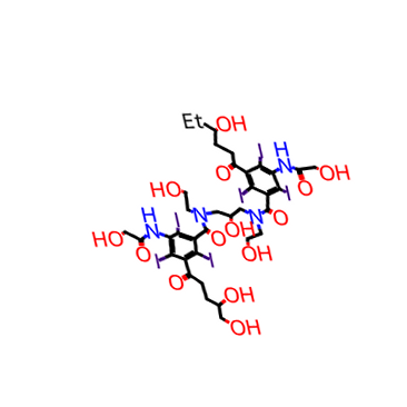 CCC(O)CCC(=O)c1c(I)c(NC(=O)CO)c(I)c(C(=O)N(CCO)CC(O)CN(CCO)C(=O)c2c(I)c(NC(=O)CO)c(I)c(C(=O)CCC(O)CO)c2I)c1I